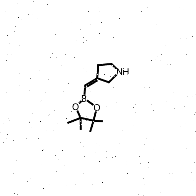 CC1(C)OB(C=C2CCNC2)OC1(C)C